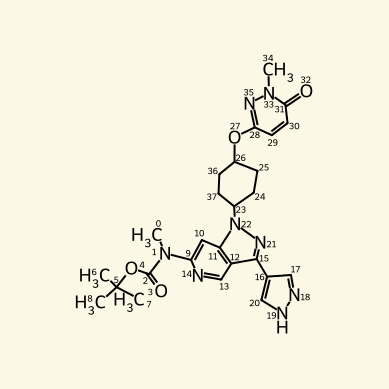 CN(C(=O)OC(C)(C)C)c1cc2c(cn1)c(-c1cn[nH]c1)nn2C1CCC(Oc2ccc(=O)n(C)n2)CC1